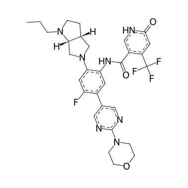 CCCN1CC[C@@H]2CN(c3cc(F)c(-c4cnc(N5CCOCC5)nc4)cc3NC(=O)c3c[nH]c(=O)cc3C(F)(F)F)C[C@@H]21